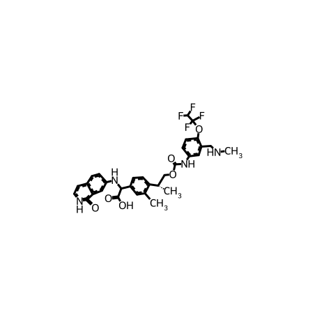 CNCc1cc(NC(=O)OC[C@H](C)c2ccc(C(Nc3ccc4cc[nH]c(=O)c4c3)C(=O)O)cc2C)ccc1OC(F)(F)C(F)F